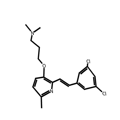 Cc1ccc(OCCCN(C)C)c(C=Cc2cc(Cl)cc(Cl)c2)n1